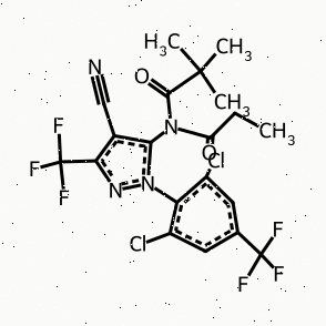 CCC(=O)N(C(=O)C(C)(C)C)c1c(C#N)c(C(F)(F)F)nn1-c1c(Cl)cc(C(F)(F)F)cc1Cl